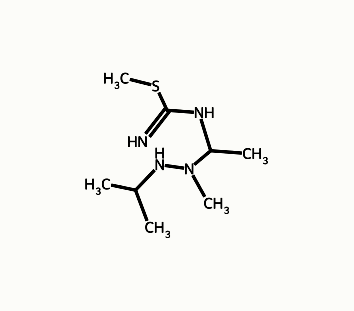 CSC(=N)NC(C)N(C)NC(C)C